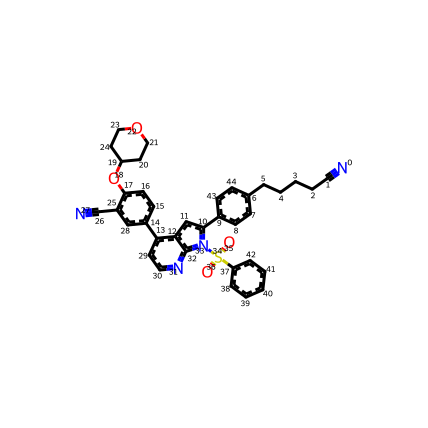 N#CCCCCc1ccc(-c2cc3c(-c4ccc(OC5CCOCC5)c(C#N)c4)ccnc3n2S(=O)(=O)c2ccccc2)cc1